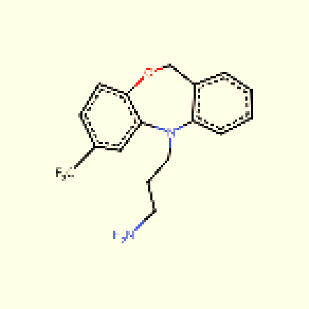 NCCCN1c2ccccc2COc2ccc(C(F)(F)F)cc21